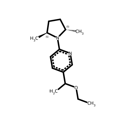 [CH2]C(OCC)c1ccc(N2[C@@H](C)CC[C@@H]2C)nc1